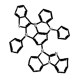 c1ccc(N2c3ccccc3B3c4c2cc(-n2c5ccccc5n5c6ccccc6nc25)cc4N(c2ccccc2)c2sc4ccccc4c23)cc1